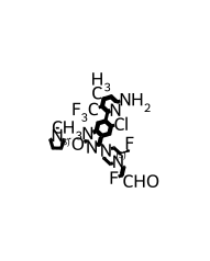 Cc1cc(N)nc(-c2cc3nc(OC[C@@H]4CCCN4C)nc(N4CCN(C=C(F)C=O)[C@H](CF)C4)c3cc2Cl)c1C(F)(F)F